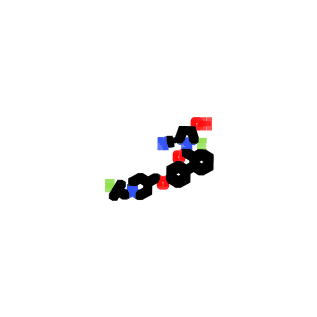 CC(C)(F)CN1CCC(COc2ccc(-c3cccc(F)c3C(=O)N3C[C@H](O)C[C@H]3C#N)cc2)CC1